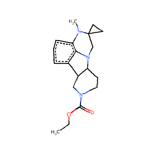 CCOC(=O)N1CCC2C(C1)c1cccc3c1N2CC1(CC1)N3C